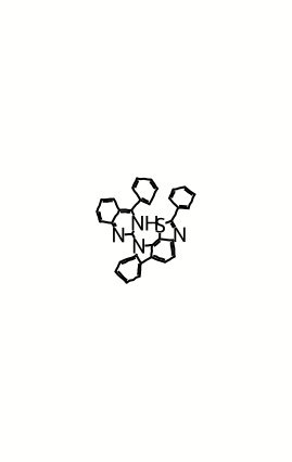 c1ccc(C2=c3ccccc3=NC(n3c4ccccc4c4ccc5nc(-c6ccccc6)sc5c43)N2)cc1